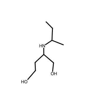 CCC(C)NC(CO)CCO